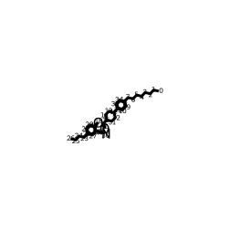 CCCCCCCCc1ccc(C2CCC(C(=O)Oc3ccc(CCCC)cc3C#N)CC2)cc1